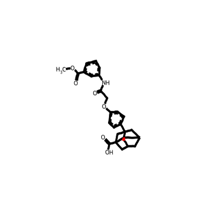 COC(=O)c1cccc(NC(=O)COc2ccc(C34CC5CC(CC(C(=O)O)(C5)C3)C4)cc2)c1